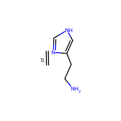 C=C.NCCc1c[nH]cn1.[Ti]